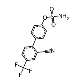 N#Cc1cc(C(F)(F)F)ccc1-c1ccc(OS(N)(=O)=O)cc1